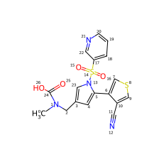 CN(Cc1cc(-c2cscc2C#N)n(S(=O)(=O)c2cccnc2)c1)C(=O)O